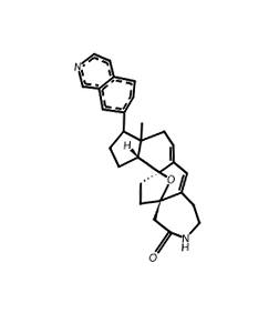 CC12CC=C3C=C4CCNC(=O)C[C@]45CC[C@]3(O5)[C@@H]1CCC2c1ccc2ccncc2c1